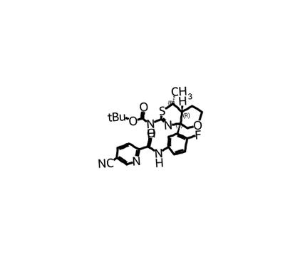 C[C@H]1SC(NC(=O)OC(C)(C)C)=N[C@@]2(c3cc(NC(=O)c4ccc(C#N)cn4)ccc3F)COCC[C@@H]12